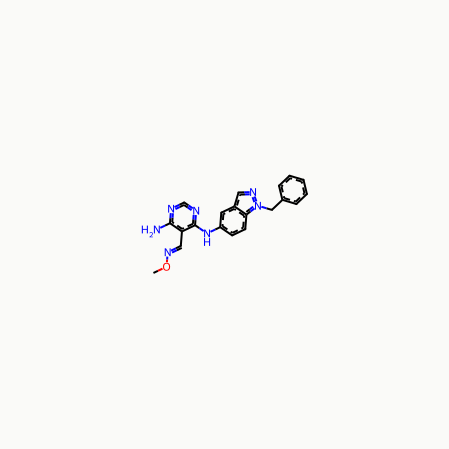 CON=Cc1c(N)ncnc1Nc1ccc2c(cnn2Cc2ccccc2)c1